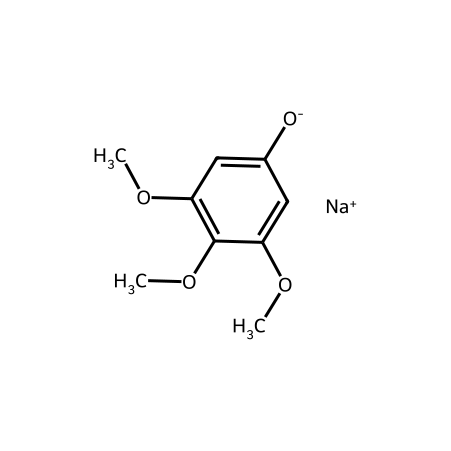 COc1cc([O-])cc(OC)c1OC.[Na+]